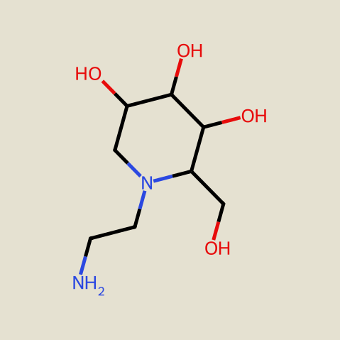 NCCN1CC(O)C(O)C(O)C1CO